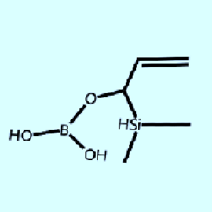 C=CC(OB(O)O)[SiH](C)C